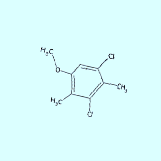 COc1cc(Cl)c(C)c(Cl)c1C